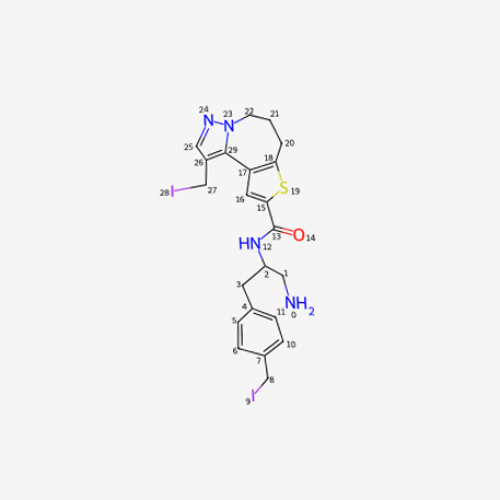 NCC(Cc1ccc(CI)cc1)NC(=O)c1cc2c(s1)CCCn1ncc(CI)c1-2